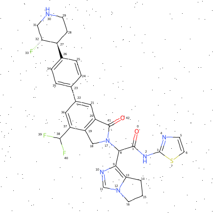 O=C(Nc1nccs1)C(c1ncn2c1CCC2)N1Cc2c(cc(-c3ccc([C@@H]4CCNC[C@H]4F)cc3)cc2C(F)F)C1=O